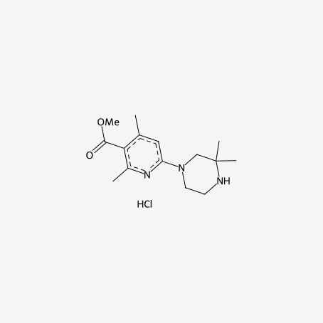 COC(=O)c1c(C)cc(N2CCNC(C)(C)C2)nc1C.Cl